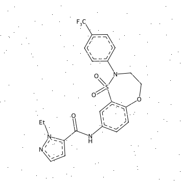 CCn1nccc1C(=O)Nc1ccc2c(c1)S(=O)(=O)N(c1ccc(C(F)(F)F)cc1)CCO2